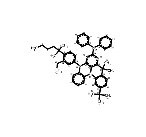 CCCCC(C)(C)c1ccc(N2c3ccccc3B3c4cc(C(C)(C)C)ccc4C(C)(C)c4nc(N(c5ccccc5)c5ccccc5)nc2c43)cc1CC